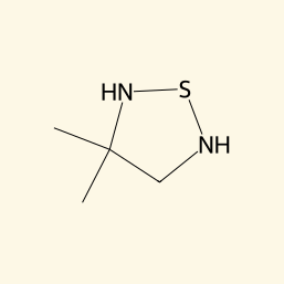 CC1(C)CNSN1